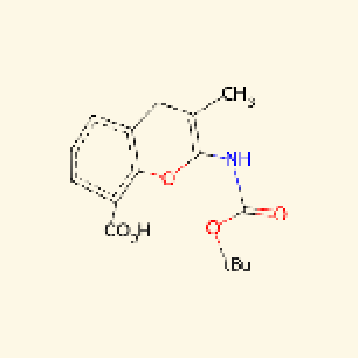 CC1=C(NC(=O)OC(C)(C)C)Oc2c(cccc2C(=O)O)C1